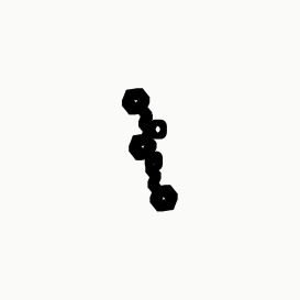 O=C(C=Cc1ccccc1)c1cccc(OCCCc2ccccc2)c1